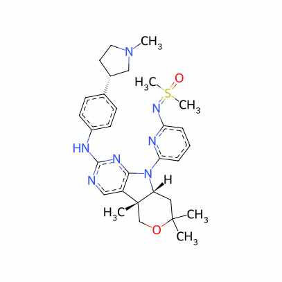 CN1CC[C@@H](c2ccc(Nc3ncc4c(n3)N(c3cccc(N=S(C)(C)=O)n3)[C@@H]3CC(C)(C)OC[C@]43C)cc2)C1